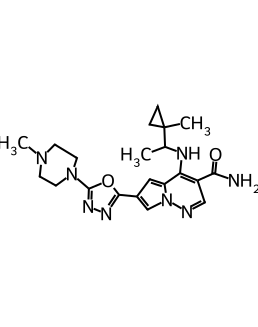 CC(Nc1c(C(N)=O)cnn2cc(-c3nnc(N4CCN(C)CC4)o3)cc12)C1(C)CC1